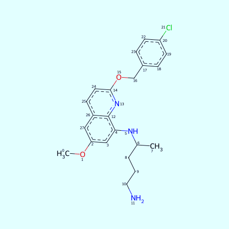 COc1cc(NC(C)CCCN)c2nc(OCc3ccc(Cl)cc3)ccc2c1